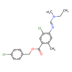 CCN(C)/C=N/c1cc(C)c(C(=O)OCc2ccc(Cl)cc2)cc1Cl